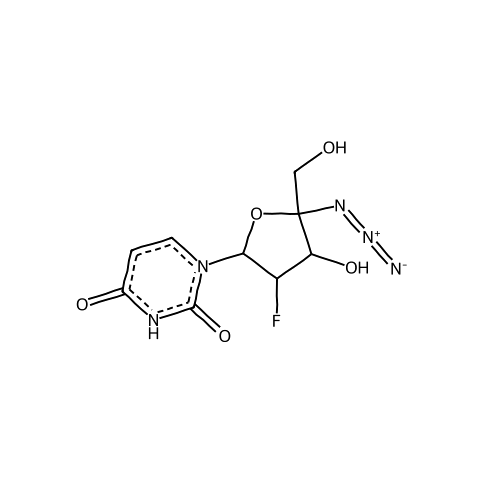 [N-]=[N+]=NC1(CO)OC(n2ccc(=O)[nH]c2=O)C(F)C1O